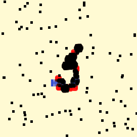 O=C1CCN(c2cccc(OCC(=O)N3CCN(CCCCOc4ccc([C@@H]5c6ccc(OCc7ccccc7)cc6CC[C@@H]5c5ccccc5)cc4)CC3)c2)C(=O)N1